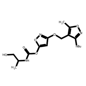 CCCCc1noc(C)c1COc1cc(OC(=O)NC(C)CO)on1